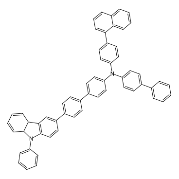 C1=CC2c3cc(-c4ccc(-c5ccc(N(c6ccc(-c7ccccc7)cc6)c6ccc(-c7cccc8ccccc78)cc6)cc5)cc4)ccc3N(c3ccccc3)C2C=C1